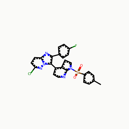 Cc1ccc(S(=O)(=O)n2ccc3c(-c4c(-c5ccc(F)cc5)nc5ccc(Cl)nn45)ccnc32)cc1